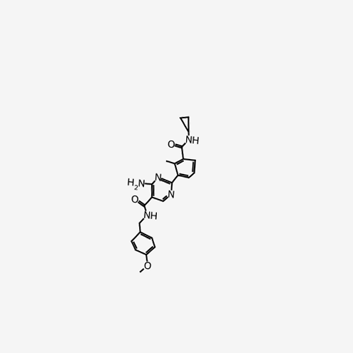 COc1ccc(CNC(=O)c2cnc(-c3cccc(C(=O)NC4CC4)c3C)nc2N)cc1